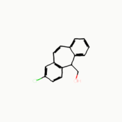 OCC1c2ccccc2C=Cc2cc(Cl)ccc21